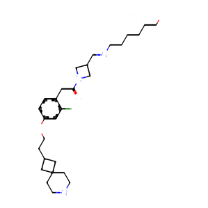 O=C(Cc1ccc(OCCC2CC3(CCNCC3)C2)cc1F)N1CC(CNCCCC[C@H](O)CO)C1